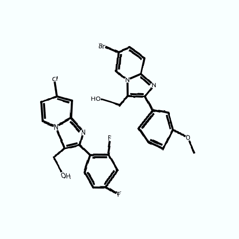 COc1cccc(-c2nc3ccc(Br)cn3c2CO)c1.OCc1c(-c2ccc(F)cc2F)nc2cc(Cl)ccn12